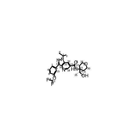 CC(C)n1nc(-c2cccc(OC(F)F)c2)c2ncc(C(=O)NC3([C@@H](C)O)CCOCC3)cc21